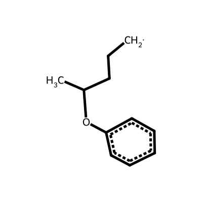 [CH2]CCC(C)Oc1ccccc1